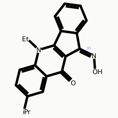 CCn1c2c(c(=O)c3cc(C(C)C)ccc31)/C(=N\O)c1ccccc1-2